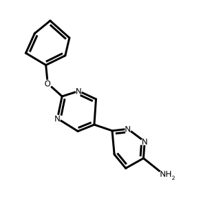 Nc1ccc(-c2cnc(Oc3ccccc3)nc2)nn1